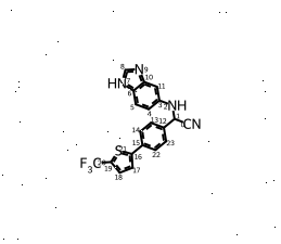 N#CC(Nc1ccc2[nH]cnc2c1)c1ccc(-c2ccc(C(F)(F)F)s2)cc1